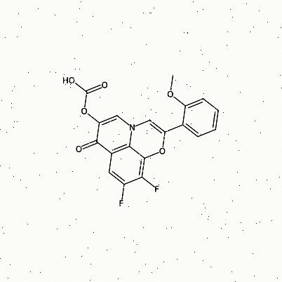 COc1ccccc1C1=Cn2cc(OC(=O)O)c(=O)c3cc(F)c(F)c(c32)O1